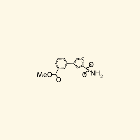 COC(=O)c1cccc(-c2csc(S(N)(=O)=O)c2)c1